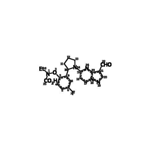 CCN(Oc1ccc(F)cc1C1CCCN1c1ccn2ncc(C=O)c2n1)C(=O)O